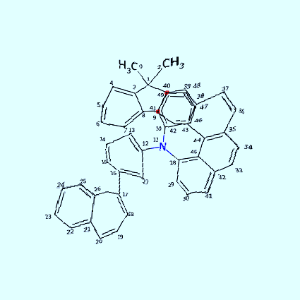 CC1(C)c2ccccc2-c2c(N(c3cccc(-c4cccc5ccccc45)c3)c3cccc4ccc5ccc6ccccc6c5c34)cccc21